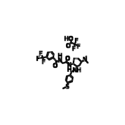 CSc1ccc(CNC2CC(N(C)C)CCC2NC(=O)CNC(=O)c2cccc(C(F)(F)F)c2)cc1.O=C(O)C(F)(F)F